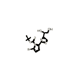 CC(C)(C)OC(=O)n1c(Br)ccc1-c1nc(C(O)CO)cs1